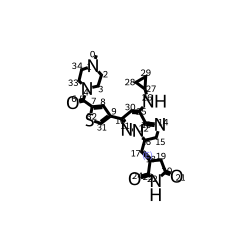 CN1CCN(C(=O)c2cc(C3=NN4C(=NCC4/C=C4\CC(=O)NC4=O)C(NC4CC4)=C3)cs2)CC1